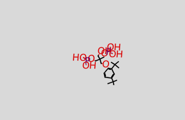 CC(C)(C)c1ccc(OCC(CO)(COP(O)O)COP(O)O)c(C(C)(C)C)c1